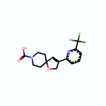 O=C(O)N1CCC2(C=C(c3cccc(C(F)(F)F)n3)CO2)CC1